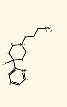 NCCCN1CCC(F)(c2ccccn2)CC1